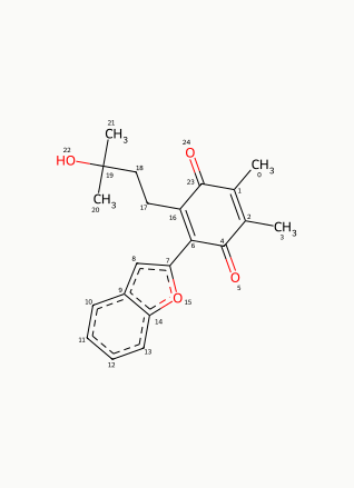 CC1=C(C)C(=O)C(c2cc3ccccc3o2)=C(CCC(C)(C)O)C1=O